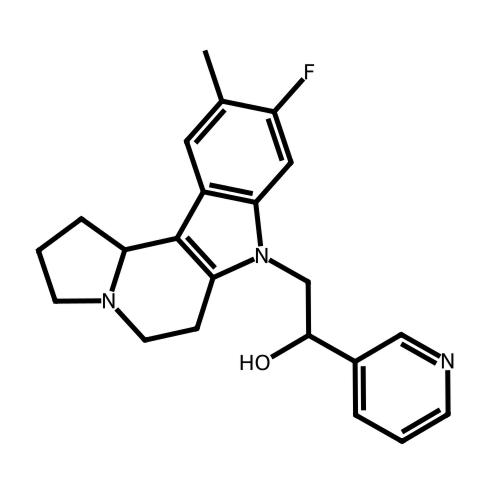 Cc1cc2c3c(n(CC(O)c4cccnc4)c2cc1F)CCN1CCCC31